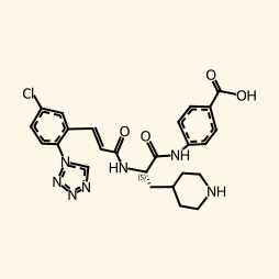 O=C(C=Cc1cc(Cl)ccc1-n1cnnn1)N[C@@H](CC1CCNCC1)C(=O)Nc1ccc(C(=O)O)cc1